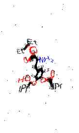 CCC(CC)OC(=O)[C@@H](N)Cc1ccc(OC(=O)C(C)C)c(OC(O)C(C)C)c1